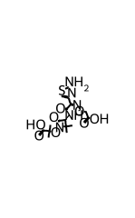 CC(C)(ON1C(=O)[C@@H](NC(=O)/C(=N\OCC(=O)O)c2csc(N)n2)C1(C)C)C(=O)O